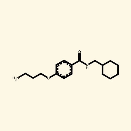 NCCCOc1ccc(C(=O)NCC2CCCCC2)cc1